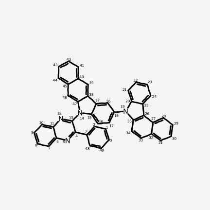 c1ccc(-c2nc3ccccc3nc2-n2c3ccc(-n4c5ccccc5c5c6ccccc6ccc54)cc3c3cc4ccccc4cc32)cc1